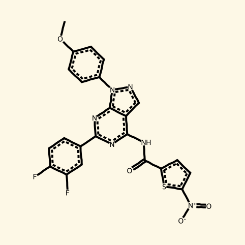 COc1ccc(-n2ncc3c(NC(=O)c4ccc([N+](=O)[O-])s4)nc(-c4ccc(F)c(F)c4)nc32)cc1